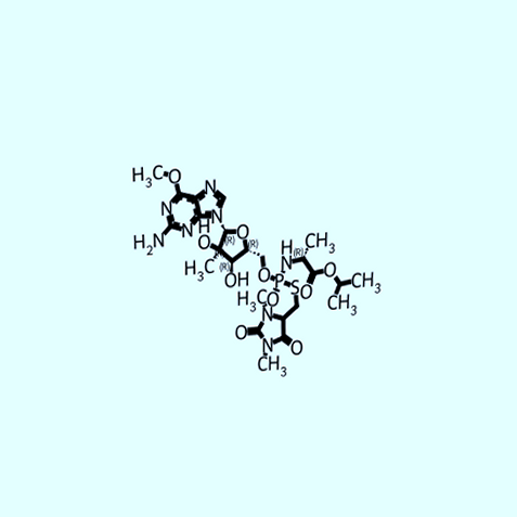 COc1nc(N)nc2c1ncn2[C@@H]1O[C@H](COP(=O)(N[C@H](C)C(=O)OC(C)C)SCC2C(=O)N(C)C(=O)N2C)[C@@H](O)[C@@]1(C)O